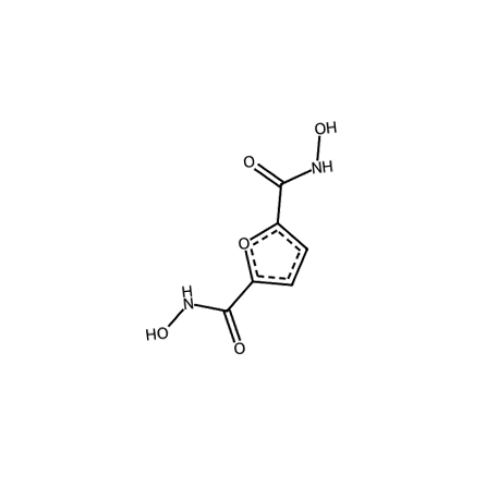 O=C(NO)c1ccc(C(=O)NO)o1